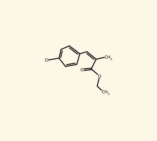 CCOC(=O)C(C)=Cc1ccc(Cl)cc1